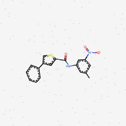 Cc1cc(NC(=O)c2cc(-c3ccccc3)cs2)cc([N+](=O)[O-])c1